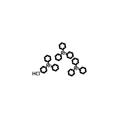 Cl.c1cc[c]([Rh]([c]2ccccc2)[c]2ccccc2)cc1.c1cc[c]([Rh]([c]2ccccc2)[c]2ccccc2)cc1.c1cc[c]([Rh]([c]2ccccc2)[c]2ccccc2)cc1